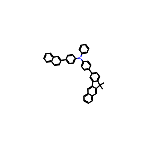 CC1(C)c2ccc(-c3ccc(N(c4ccccc4)c4ccc(-c5ccc6ccccc6c5)cc4)cc3)cc2-c2cc3ccccc3cc21